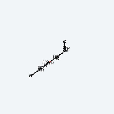 O=CCCCCCCCNC(=O)COCCOCCC(O)NCCCCCCCC(=O)NCCCCCCCC(=O)ONOCCCC=O